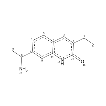 CCc1cc2ccc(C(C)N)cc2[nH]c1=O